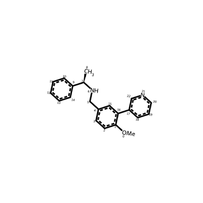 COc1ccc(CN[C@H](C)c2ccccc2)cc1-c1cccnc1